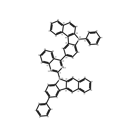 c1ccc(-c2ccc3c(c2)c2cc4ccccc4cc2n3-c2nc(-c3ccc4c(c3)c3c5ccccc5ccc3n4-c3ccccc3)c3ccccc3n2)cc1